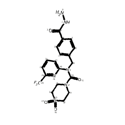 NNC(=O)c1ccc(CN(C(=O)N2CCS(=O)(=O)CC2)c2cccc(C(F)(F)F)n2)cc1